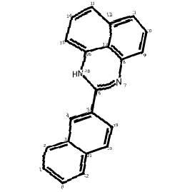 c1ccc2cc(C3=Nc4cccc5cccc(c45)N3)ccc2c1